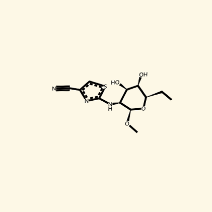 CC[C@H]1O[C@@H](OC)[C@@H](Nc2nc(C#N)cs2)[C@@H](O)[C@H]1O